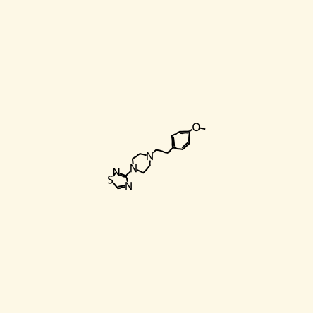 COc1ccc(CCN2CCN(c3ncsn3)CC2)cc1